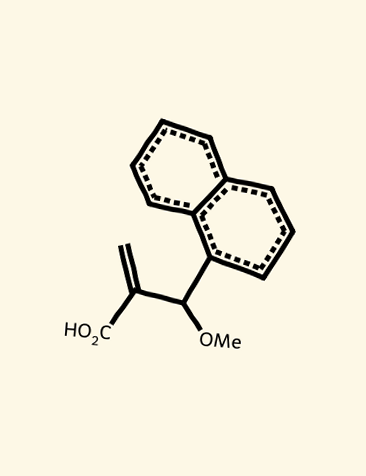 C=C(C(=O)O)C(OC)c1cccc2ccccc12